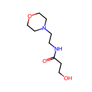 O=C(CCO)NCCN1CCOCC1